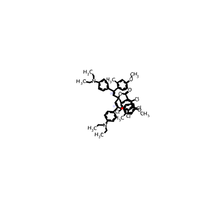 CCN(CC)c1ccc(/C(=C/C2(/C=C(/c3ccc(N(CC)CC)cc3)c3ccc(OC)cc3C)OC(=O)c3c(Cl)c(Cl)c(Cl)c(Cl)c32)c2ccc(OC)cc2C)cc1